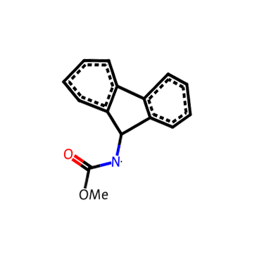 COC(=O)[N]C1c2ccccc2-c2ccccc21